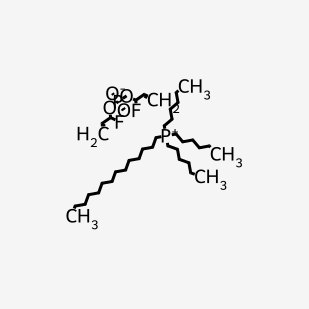 C=CC(F)OP(=O)([O-])OC(F)C=C.CCCCCCCCCCCCCC[P+](CCCCCC)(CCCCCC)CCCCCC